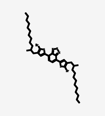 CCCCCCCCCCC(C)Cc1cc(-c2ccc(-c3cc(CC(C)CCCCCCCCCC)c(Br)s3)c3nsnc23)sc1Br